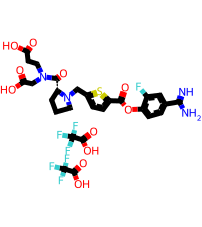 N=C(N)c1ccc(OC(=O)c2ccc(CN3CCC[C@@H]3C(=O)N(CCC(=O)O)CC(=O)O)s2)c(F)c1.O=C(O)C(F)(F)F.O=C(O)C(F)(F)F